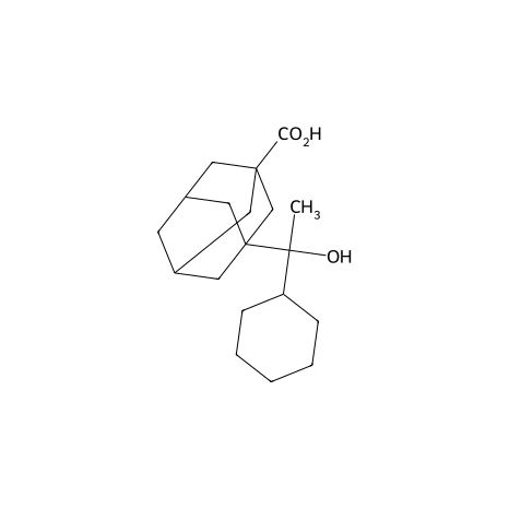 CC(O)(C1CCCCC1)C12CC3CC(CC(C(=O)O)(C3)C1)C2